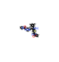 COC(CN1CCN(CC(=O)N2CCCC2)CC1)c1c(-c2cc(C)cc(C)c2)[nH]c2sc(C(C)(C)CC3C4CCC3C(=O)N4)cc12